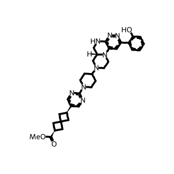 COC(=O)[C@H]1CC2(C1)C[C@H](c1cnc(N3CCC(N4CCN5c6cc(-c7ccccc7O)nnc6NC[C@H]5C4)CC3)nc1)C2